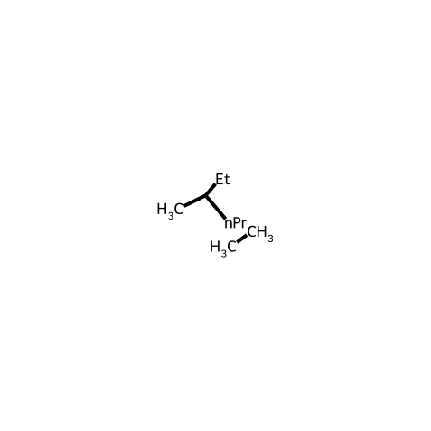 CC.CCCC(C)CC